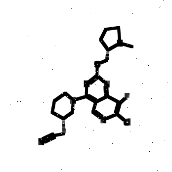 CN1CCC[C@H]1COc1nc(N2CCC[C@@H](CC#N)C2)c2cnc(Cl)c(F)c2n1